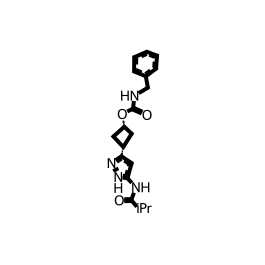 CC(C)C(=O)Nc1cc([C@H]2C[C@@H](OC(=O)NCc3ccccc3)C2)n[nH]1